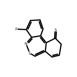 Fc1cccc2c1=NSC=C1C=CCC(=S)C=21